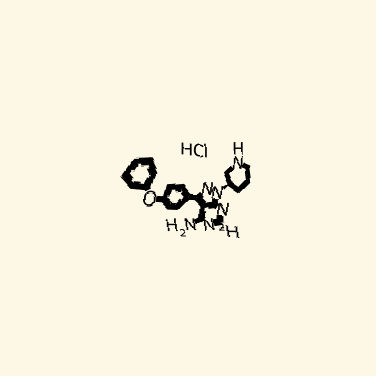 Cl.[2H]c1nc(N)c2c(-c3ccc(Oc4ccccc4)cc3)nn([C@@H]3CCCNC3)c2n1